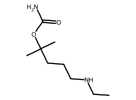 CCNCCCC(C)(C)OC(N)=O